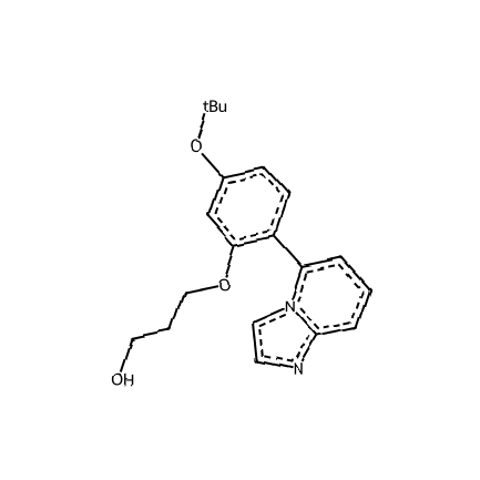 CC(C)(C)Oc1ccc(-c2cccc3nccn23)c(OCCCO)c1